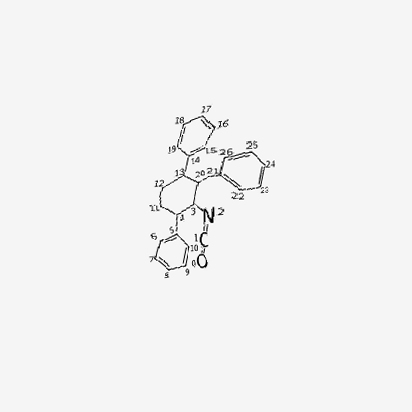 O=C=NC1C(c2ccccc2)CCC(c2ccccc2)C1c1ccccc1